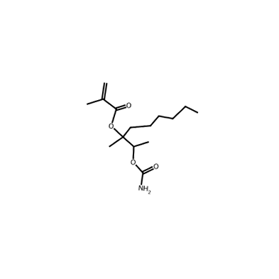 C=C(C)C(=O)OC(C)(CCCCCC)C(C)OC(N)=O